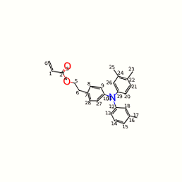 C=CC(=O)OCCc1ccc(N(c2cccc(C)c2)c2ccc(C)c(C)c2)cc1